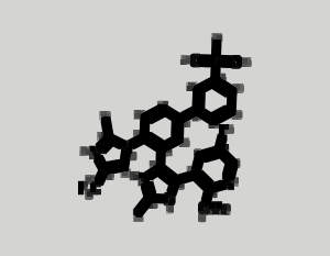 COc1ncc(F)cc1-c1oc(C)nc1-c1cc(-c2cccc(S(C)(=O)=O)c2)ccc1-n1cc(C(F)(F)F)nc1C